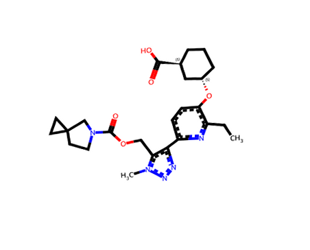 CCc1nc(-c2nnn(C)c2COC(=O)N2CCC3(CC3)C2)ccc1O[C@H]1CCC[C@H](C(=O)O)C1